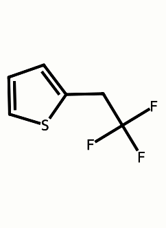 FC(F)(F)Cc1cccs1